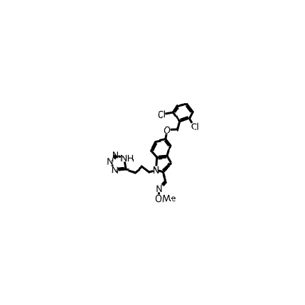 CO/N=C/c1cc2cc(OCc3c(Cl)cccc3Cl)ccc2n1CCCc1nnn[nH]1